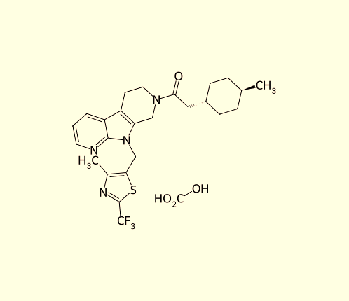 Cc1nc(C(F)(F)F)sc1Cn1c2c(c3cccnc31)CCN(C(=O)C[C@H]1CC[C@H](C)CC1)C2.O=C(O)O